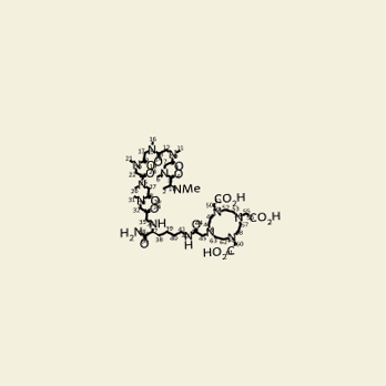 CN[C@@H](C)C(=O)N(C)CC(=O)N(C)CC(=O)N(C)CC(=O)N(C)CC(=O)N(C)CC(=O)N(C)CC(=O)CN[C@@H](CCCCNC(=O)CN1CCN(CC(=O)O)CCN(CC(=O)O)CCN(CC(=O)O)CC1)C(N)=O